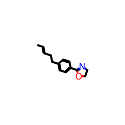 CC=CCCc1ccc(C2=NCCO2)cc1